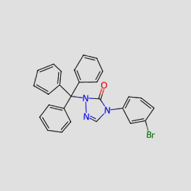 O=c1n(-c2cccc(Br)c2)cnn1C(c1ccccc1)(c1ccccc1)c1ccccc1